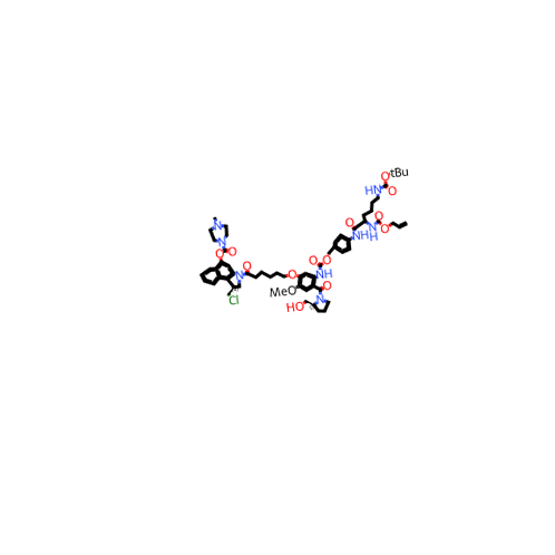 C=CCOC(=O)NC(CCCCNC(=O)OC(C)(C)C)C(=O)Nc1ccc(COC(=O)Nc2cc(OCCCCCC(=O)N3C[C@@H](CCl)c4c3cc(OC(=O)N3CCN(C)CC3)c3ccccc43)c(OC)cc2C(=O)N2CCC[C@H]2CO)cc1